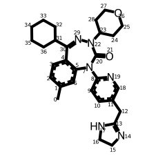 Cc1ccc2c(c1)N(c1ccc(CC3=NCCN3)cn1)C(=O)N(C1CCOCC1)N=C2C1CCCCC1